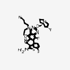 N#CCCCN1CCOc2c(Cl)c(-c3ccc(F)c4sc(N)c(C#N)c34)c(F)c3nc(OC[C@@]45CCCN4C[C@H](F)C5)nc1c23